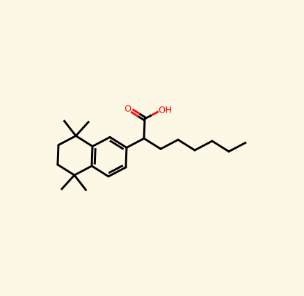 CCCCCCC(C(=O)O)c1ccc2c(c1)C(C)(C)CCC2(C)C